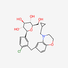 OC[C@H]1O[C@@H](c2ccc(Cl)c(Cc3ccc4c(c3)N(CC3CC3)CCO4)c2)[C@H](O)[C@@H](O)[C@@H]1O